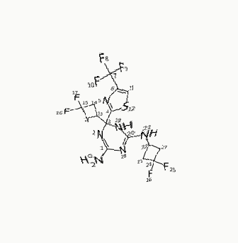 NC1=NC(c2nc(C(F)(F)F)cs2)(C2CC(F)(F)C2)NC(NC2CC(F)(F)C2)=N1